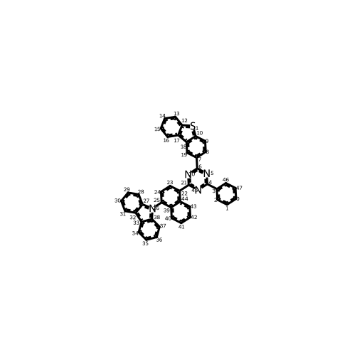 c1ccc(-c2nc(-c3ccc4sc5ccccc5c4c3)nc(-c3ccc(-n4c5ccccc5c5ccccc54)c4ccccc34)n2)cc1